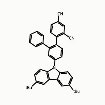 CC(C)(C)c1ccc2c(c1)c1cc(C(C)(C)C)ccc1n2-c1ccc(-c2ccc(C#N)cc2C#N)c(-c2ccccc2)c1